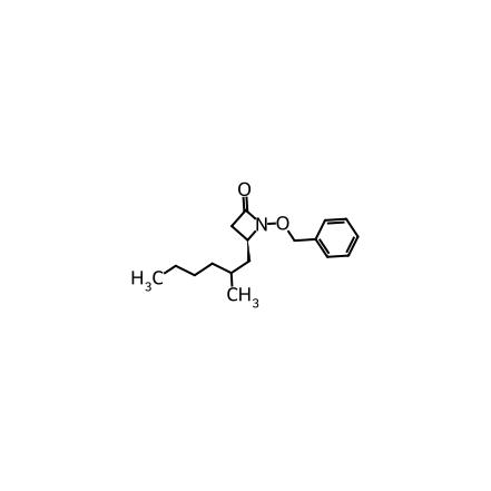 CCCCC(C)C[C@H]1CC(=O)N1OCc1ccccc1